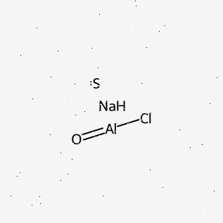 [NaH].[O]=[Al][Cl].[S]